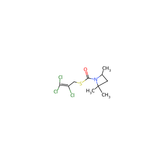 CC1CC(C)(C)N1C(=O)SCC(Cl)=C(Cl)Cl